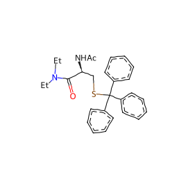 CCN(CC)C(=O)[C@H](CSC(c1ccccc1)(c1ccccc1)c1ccccc1)NC(C)=O